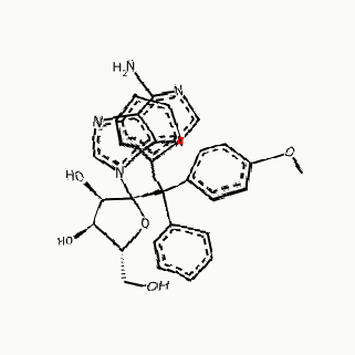 COc1ccc(C(c2ccccc2)(c2ccccc2)[C@@]2(n3cnc4c(N)ncnc43)O[C@H](CO)[C@@H](O)[C@H]2O)cc1